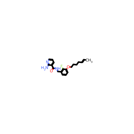 C/C=C/CCCCOc1cccc(CNC(=O)c2cccnc2N)c1F